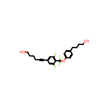 OCCCCC#Cc1cc(F)c(C(F)(F)Oc2ccc(CCCCO)cc2)c(F)c1